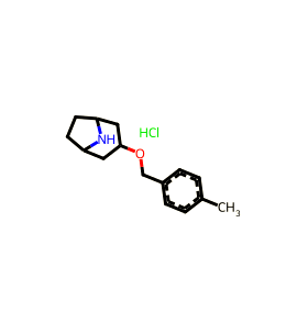 Cc1ccc(COC2CC3CCC(C2)N3)cc1.Cl